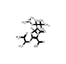 CC(SC1=C(C(=O)O)N2C(=O)[C@H](C(C)(O[SiH](C)C)C(C)(C)C)[C@H]2S1)C(N)=O